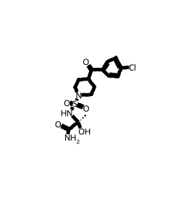 C[C@@](O)(NS(=O)(=O)N1CCC(C(=O)c2ccc(Cl)cc2)CC1)C(N)=O